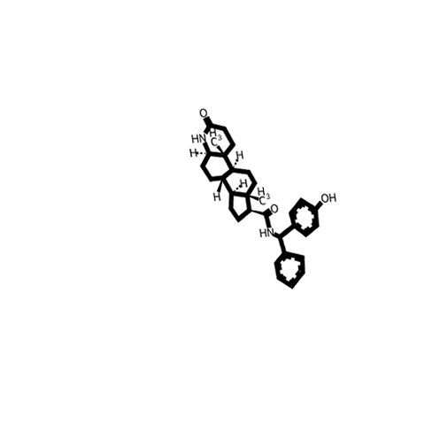 C[C@]12CCC(=O)N[C@@H]1CC[C@@H]1[C@@H]2CC[C@]2(C)[C@@H](C(=O)NC(c3ccccc3)c3ccc(O)cc3)CC[C@@H]12